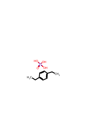 CCc1ccc(CC)cc1.O=P(O)(O)O